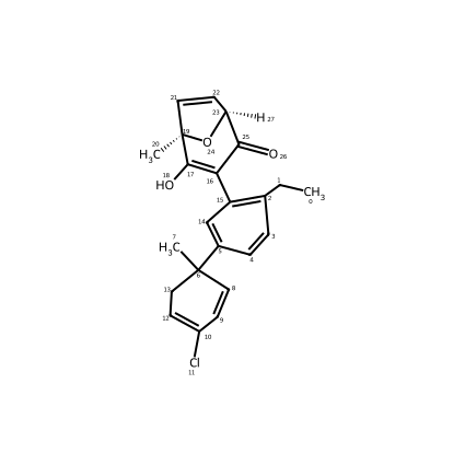 CCc1ccc(C2(C)C=CC(Cl)=CC2)cc1C1=C(O)[C@@]2(C)C=C[C@H](O2)C1=O